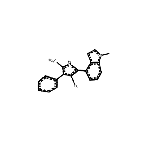 CCc1c(-c2cccc3c2ccn3C)[nH]c(C(=O)O)c1-c1ccccc1